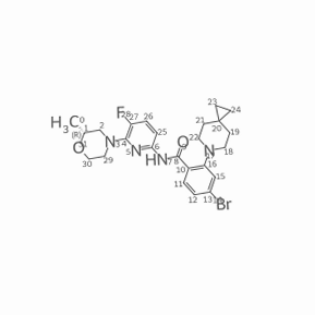 C[C@@H]1CN(c2nc(NC(=O)c3ccc(Br)cc3N3CCC4(CC3)CC4)ccc2F)CCO1